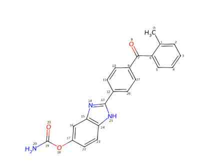 Cc1ccccc1C(=O)c1ccc(-c2nc3cc(OC(N)=O)ccc3[nH]2)cc1